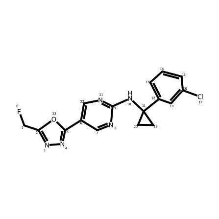 FCc1nnc(-c2cnc(NC3(c4cccc(Cl)c4)CC3)nc2)o1